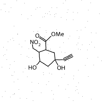 C#CC1(O)CC(O)C(C[N+](=O)[O-])C(C(=O)OC)C1